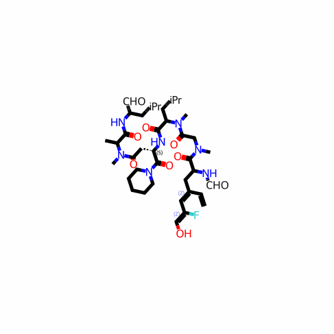 C=C/C(=C\C(F)=C\O)CC(NC=O)C(=O)N(C)CC(=O)N(C)C(CC(C)C)C(=O)N[C@@H](CC(=O)N(C)C(C)C(=O)NC(C=O)CC(C)C)C(=O)N1CCCCC1